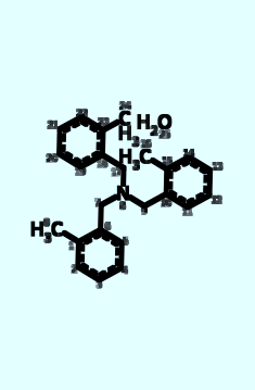 Cc1ccccc1CN(Cc1ccccc1C)Cc1ccccc1C.O